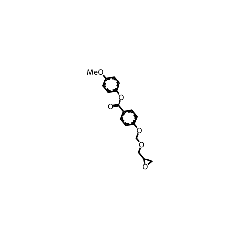 COc1ccc(OC(=O)c2ccc(OCOCC3CO3)cc2)cc1